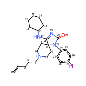 C=CCCCN1CCC2(CC1)C(NC1CCCCC1)=NC(=O)N2c1ccc(I)cc1